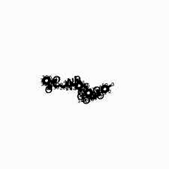 Cc1ccc(S(=O)(=O)n2ccc3c(S(C)(=O)=O)c(Oc4ccc(F)c(-c5nc(CCCN6C(=O)c7ccccc7C6=O)c[nH]5)c4)c(F)cc32)cc1